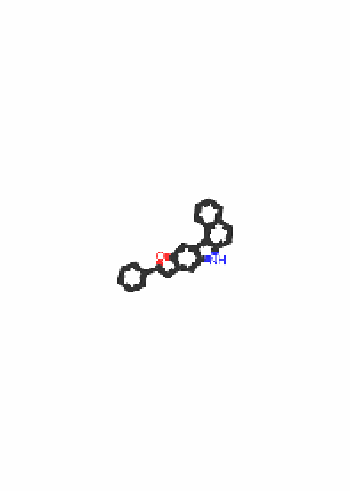 c1ccc(-c2cc3cc4[nH]c5ccc6ccccc6c5c4cc3o2)cc1